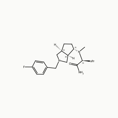 CCC[C@@H](C(N)=O)N(C)[C@H]1CC[C@@H]2CN(Cc3ccc(F)cc3)C[C@@H]21